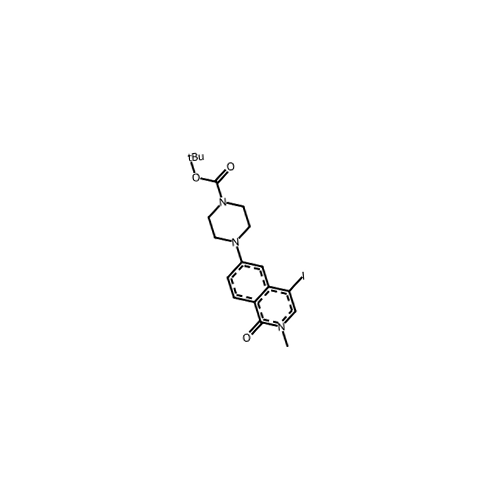 Cn1cc(I)c2cc(N3CCN(C(=O)OC(C)(C)C)CC3)ccc2c1=O